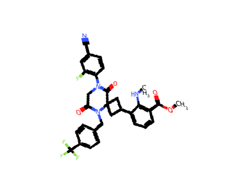 CNc1c(C(=O)OC)cccc1C1CC2(C1)C(=O)N(c1ccc(C#N)cc1F)CC(=O)N2Cc1ccc(C(F)(F)F)cc1